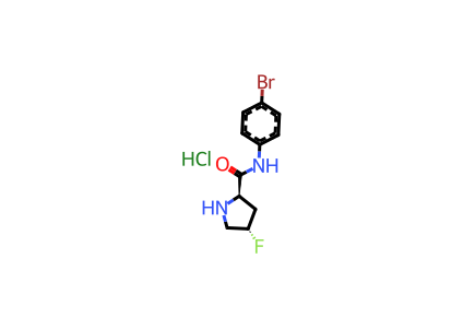 Cl.O=C(Nc1ccc(Br)cc1)[C@H]1C[C@H](F)CN1